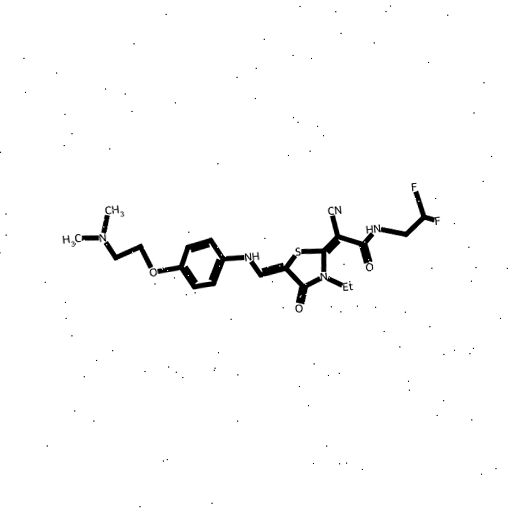 CCn1c(=C(C#N)C(=O)NCC(F)F)sc(=CNc2ccc(OCCN(C)C)cc2)c1=O